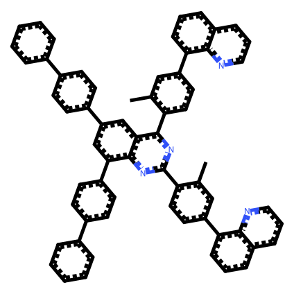 Cc1cc(-c2cccc3cccnc23)ccc1-c1nc(-c2ccc(-c3cccc4cccnc34)cc2C)c2cc(-c3ccc(-c4ccccc4)cc3)cc(-c3ccc(-c4ccccc4)cc3)c2n1